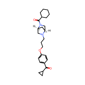 O=C(c1ccc(OCCCN2C[C@@H]3C[C@H]2CN3C(=O)C2CCCCC2)cc1)C1CC1